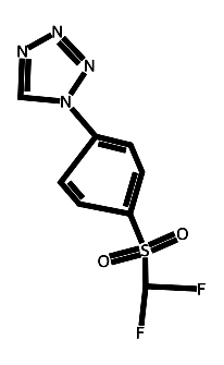 O=S(=O)(c1ccc(-n2cnnn2)cc1)C(F)F